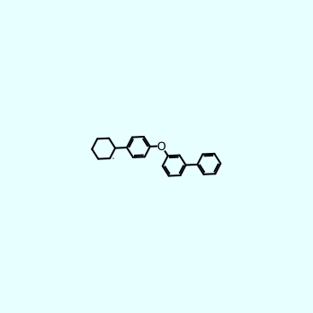 [CH]1CCCCC1c1ccc(Oc2cccc(-c3ccccc3)c2)cc1